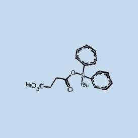 CC(C)(C)[Si](OC(=O)CCC(=O)O)(c1ccccc1)c1ccccc1